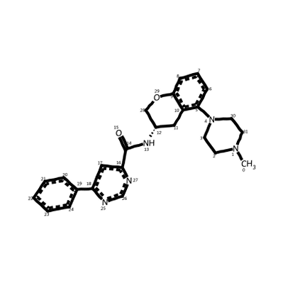 CN1CCN(c2cccc3c2C[C@H](NC(=O)c2cc(-c4ccccc4)ncn2)CO3)CC1